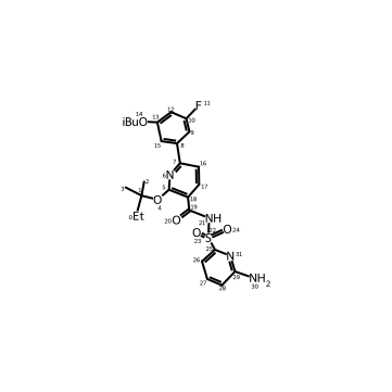 CCC(C)(C)Oc1nc(-c2cc(F)cc(OCC(C)C)c2)ccc1C(=O)NS(=O)(=O)c1cccc(N)n1